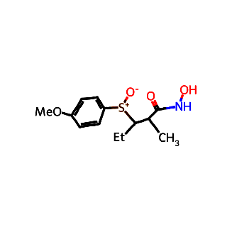 CCC(C(C)C(=O)NO)[S+]([O-])c1ccc(OC)cc1